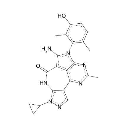 Cc1nc2c3c(c(N)n(-c4c(C)ccc(O)c4C)c3n1)C(=O)Nc1c-2cnn1C1CC1